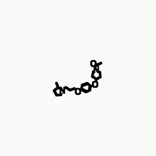 CC(=O)N1CCC(Oc2ccc(OCCCN3CCCC3C)cc2)CC1